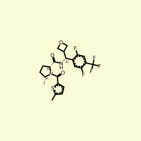 Cc1ccc(C(=O)N2[C@H](C)CC[C@@H]2C(=O)N[C@@H](c2cc(F)c(C(F)(F)F)cc2F)C2COC2)s1